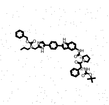 CCCN(Cc1ncc(-c2ccc(-c3cc4cc(NC(=O)[C@@H]5CCCN5C(=O)[C@H](NC(=O)OC(C)(C)C)c5ccccc5)ccc4[nH]3)cc2)[nH]1)C(=O)OCc1ccccc1